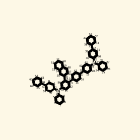 C1=CC(N(c2ccccc2)c2ccc(-c3ccc(-c4ccc(N(c5ccccc5)c5ccc(-c6ccccc6)cc5)cc4)cc3)c(-c3ccc4ccccc4c3)c2)CC=C1c1ccccc1